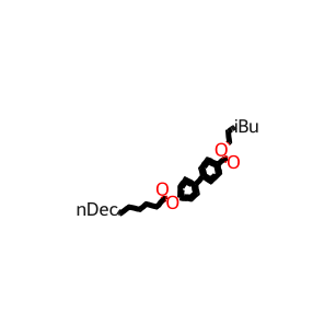 CCCCCCCCCCCCCCCC(=O)Oc1ccc(-c2ccc(C(=O)OCCC(C)CC)cc2)cc1